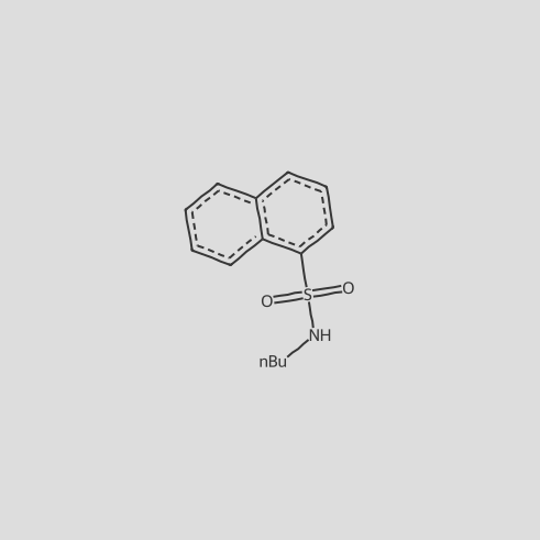 CCCCNS(=O)(=O)c1cccc2ccccc12